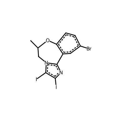 CC1Cn2c(nc(I)c2I)-c2cc(Br)ccc2O1